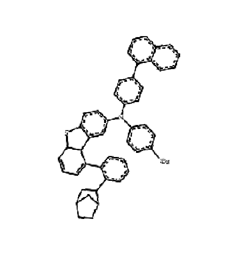 CC(C)(C)c1ccc(N(c2ccc(-c3cccc4ccccc34)cc2)c2ccc3c(c2)C2C(c4ccccc4C4CC5CCC4C5)=CC=CC2S3)cc1